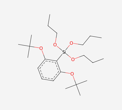 CCCO[Si](OCCC)(OCCC)c1c(OC(C)(C)C)cccc1OC(C)(C)C